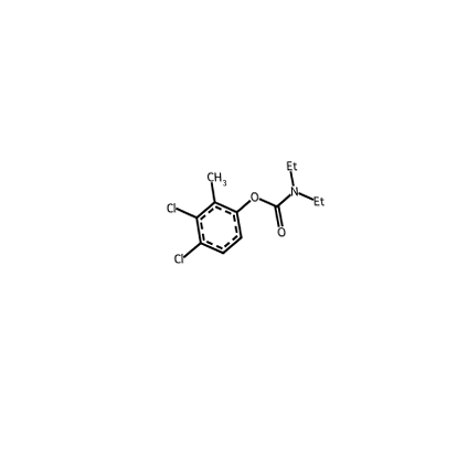 CCN(CC)C(=O)Oc1ccc(Cl)c(Cl)c1C